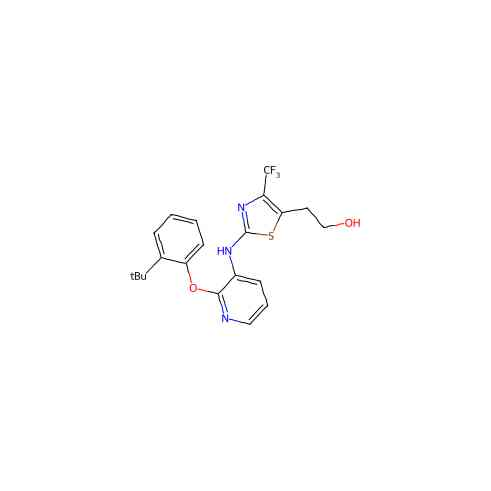 CC(C)(C)c1ccccc1Oc1ncccc1Nc1nc(C(F)(F)F)c(CCO)s1